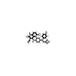 Cn1c(=O)c(C#N)c(N(C)[C@H]2CC[C@H](N(CC3COC3)c3ccc(F)cc3)CC2)c2nc(Cl)ccc21